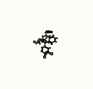 CC(=O)O.CN[C@H]1CC[C@@H](c2ccc(Cl)c(Cl)c2)c2ccccc21.O